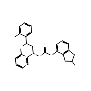 O=C(Nc1cccc2c1CC(O)C2)NC1CC(c2ccccc2Cl)Oc2ccccc21